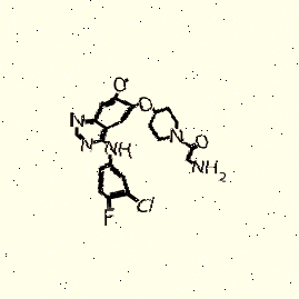 COc1cc2ncnc(Nc3ccc(F)c(Cl)c3)c2cc1OC1CCN(C(=O)CN)CC1